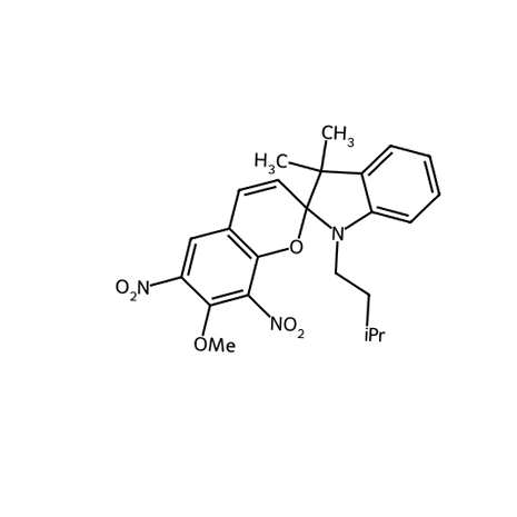 COc1c([N+](=O)[O-])cc2c(c1[N+](=O)[O-])OC1(C=C2)N(CCC(C)C)c2ccccc2C1(C)C